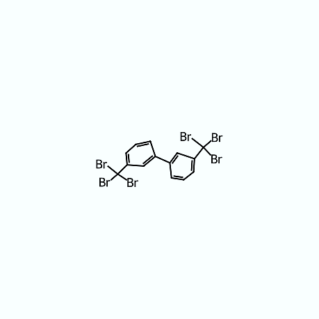 BrC(Br)(Br)c1cccc(-c2cccc(C(Br)(Br)Br)c2)c1